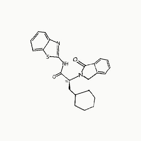 O=C(Nc1nc2ccccc2s1)[C@H](CC1CCCCC1)N1Cc2ccccc2C1=O